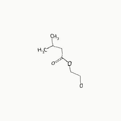 CC(C)CC(=O)OCCCl